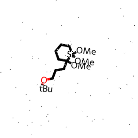 COC1(CCCOC(C)(C)C)CCCC[Si]1(OC)OC